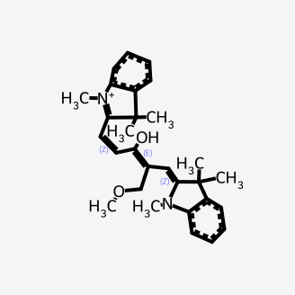 COCC(/C=C1\N(C)c2ccccc2C1(C)C)=C(O)\C=C/C1=[N+](C)c2ccccc2C1(C)C